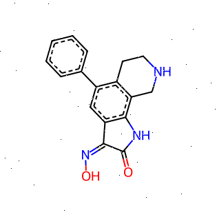 O=C1Nc2c(cc(-c3ccccc3)c3c2CNCC3)C1=NO